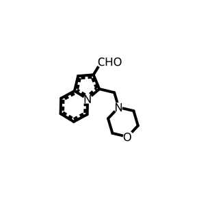 O=Cc1cc2ccccn2c1CN1CCOCC1